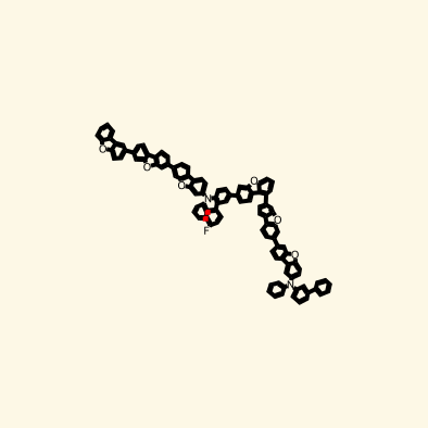 Fc1ccc(-c2cc(-c3ccc4c(c3)oc3cccc(-c5ccc6c(c5)oc5cc(-c7ccc8c(c7)oc7ccc(N(c9ccccc9)c9cccc(-c%10ccccc%10)c9)cc78)ccc56)c34)ccc2N(c2ccccc2)c2ccc3c(c2)oc2cc(-c4ccc5c(c4)oc4cc(-c6ccc7oc8ccccc8c7c6)ccc45)ccc23)cc1